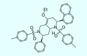 CCOC1=C2CN(S(=O)(=O)c3ccc(C)cc3)[C@H](c3ccccc3)C[C@@H]2N(S(=O)(=O)c2ccc(C)cc2)[C@H](c2cccc3ccccc23)C1